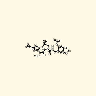 CC(C)(C)[C@@H](C(=O)N1CC(O)CC1C(=O)NCc1cc2c(cc1OC(F)F)OCO2)n1cc(C2CC2)nn1